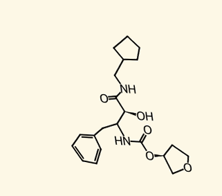 O=C(NC(Cc1ccccc1)[C@H](O)C(=O)NCC1CCCC1)O[C@H]1CCOC1